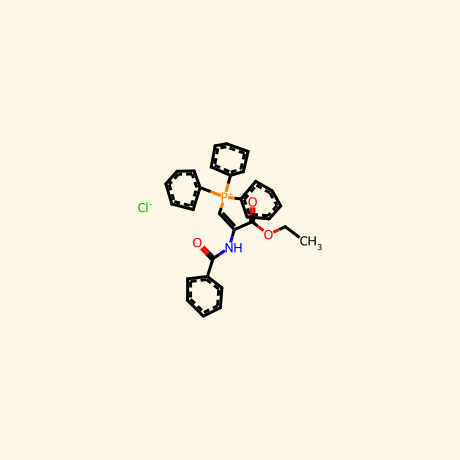 CCOC(=O)/C(=C\[P+](c1ccccc1)(c1ccccc1)c1ccccc1)NC(=O)c1ccccc1.[Cl-]